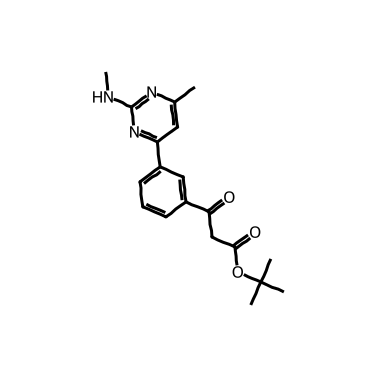 CNc1nc(C)cc(-c2cccc(C(=O)CC(=O)OC(C)(C)C)c2)n1